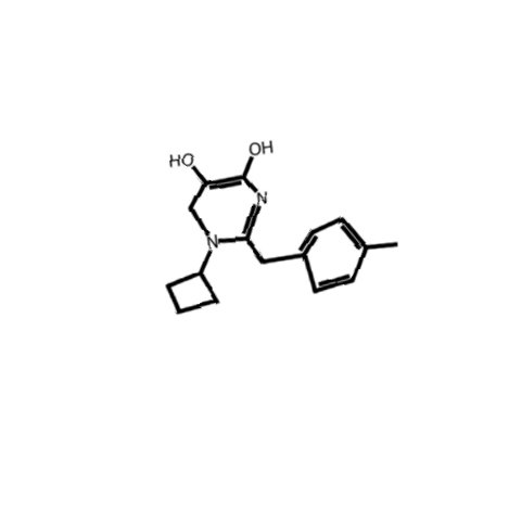 Cc1ccc(CC2=NC(O)=C(O)CN2C2CCC2)cc1